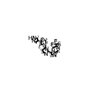 C[C@H]1[C@@H](c2cn[nH]c2)OCCN1c1ccnc(-c2cnc3cnc(C(F)(F)F)cn23)n1